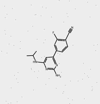 CC(C)Nc1cc(-c2ccc(C#N)c(F)c2)nc(N)n1